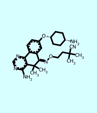 CC(C)(C#N)CCO/N=C1\c2cc(O[C@H]3CC[C@@H](N)CC3)ccc2-c2ncnc(N)c2C1(C)C